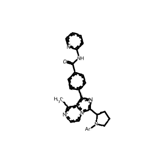 CC(=O)N1CCCC1c1nc(-c2ccc(C(=O)Nc3ccccn3)cc2)c2c(C)nccn12